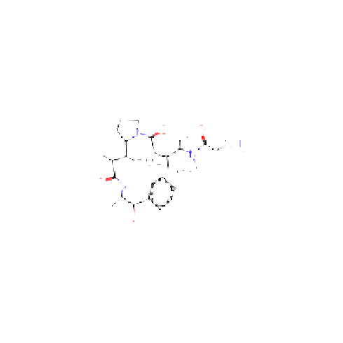 CCC(C)C(C(CC(=O)N1CCCC1C(OC)C(C)C(=O)N[C@H](C)C(O)c1ccccc1)OC)N(C)C(=O)CN